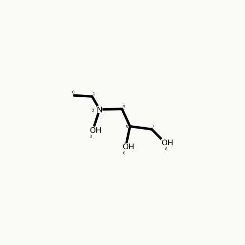 CCN(O)CC(O)CO